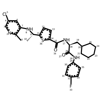 Cc1ncc(Cl)cc1N[C@@H](C)c1ccc(C(=O)N[C@@H](CC2CCCCC2)C(=O)Nc2ccc(F)cc2)s1